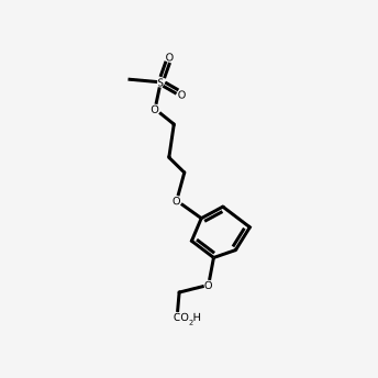 CS(=O)(=O)OCCCOc1cccc(OCC(=O)O)c1